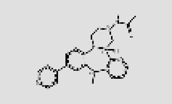 CC(=O)N[C@@H]1CCN2c3ccc(-c4ccncc4)cc3[C@H](C)c3ccccc3[C@H]2C1